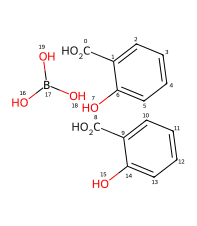 O=C(O)c1ccccc1O.O=C(O)c1ccccc1O.OB(O)O